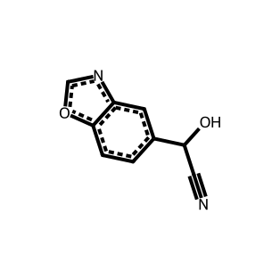 N#CC(O)c1ccc2ocnc2c1